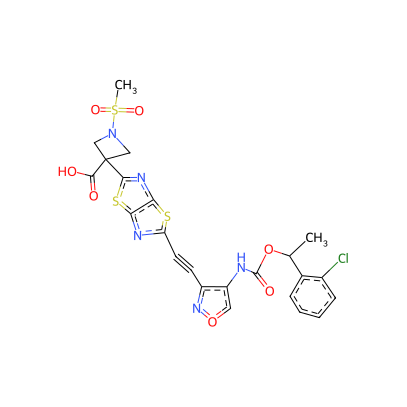 CC(OC(=O)Nc1conc1C#Cc1nc2sc(C3(C(=O)O)CN(S(C)(=O)=O)C3)nc2s1)c1ccccc1Cl